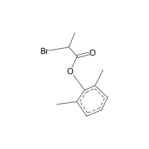 Cc1cccc(C)c1OC(=O)C(C)Br